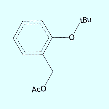 CC(=O)OCc1ccccc1OC(C)(C)C